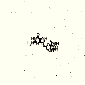 CCC(CC)(OC(CO)CN1CNc2c1nc(N)[nH]c2=O)P(=O)(O)O